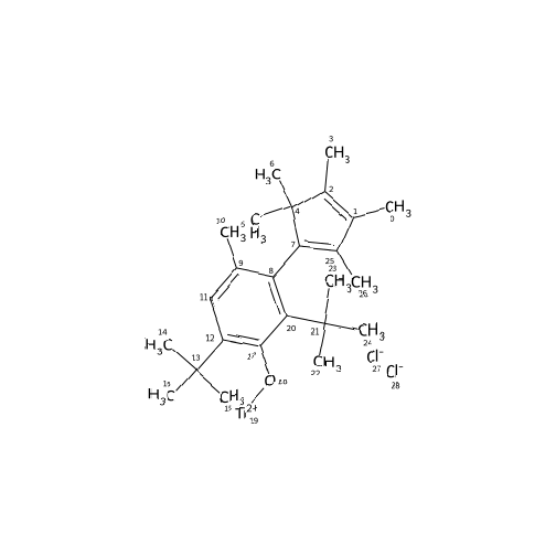 CC1=C(C)C(C)(C)C(c2c(C)cc(C(C)(C)C)c([O][Ti+2])c2C(C)(C)C)=C1C.[Cl-].[Cl-]